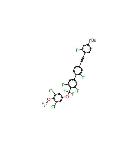 CCCCc1ccc(C#Cc2ccc(-c3cc(F)c(C(F)(F)Oc4cc(Cl)c(OC(F)(F)F)c(Cl)c4)c(F)c3)c(F)c2)c(F)c1